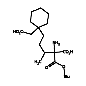 CC(CCC1(CC(=O)O)CCCCC1)C(N)(C(=O)O)C(=O)OC(C)(C)C